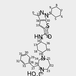 Cc1nn(C2CCCCC2)c2sc(C(=O)NC3CCC(N4CCCN(C(=O)O)C(Cc5ccccc5)C4)CC3)cc12